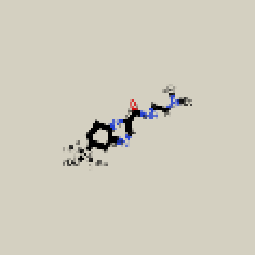 CCC[CH2][Sn]([CH2]CCC)([CH2]CCC)[c]1ccc2nc(C(=O)NCCN(CC)CC)cnc2c1